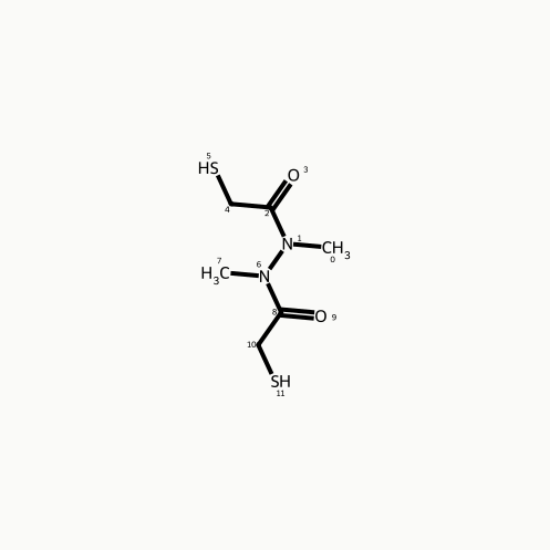 CN(C(=O)CS)N(C)C(=O)CS